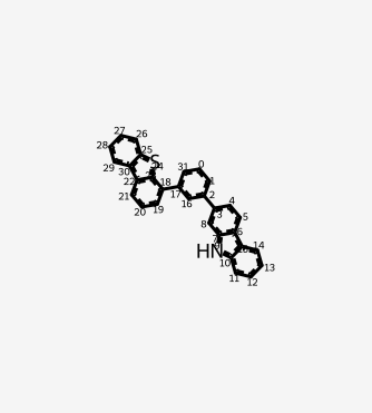 c1cc(-c2ccc3c(c2)[nH]c2ccccc23)cc(-c2cccc3c2sc2ccccc23)c1